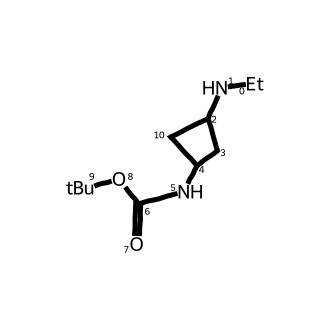 CCNC1CC(NC(=O)OC(C)(C)C)C1